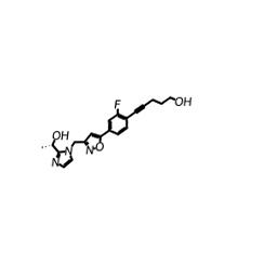 C[C@H](O)c1nccn1Cc1cc(-c2ccc(C#CCCCO)c(F)c2)on1